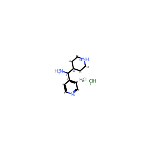 Cl.Cl.NC(c1ccncc1)C1CCNCC1